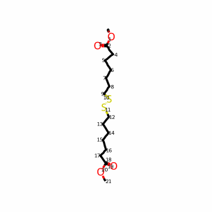 COC(=O)CCCCCCSSCCCCCCC(=O)OC